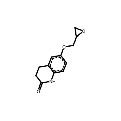 O=C1CCc2cc(OCC3CO3)ccc2N1